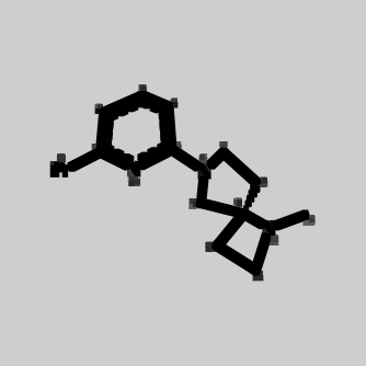 CC(C)c1cccc(N2CC[C@]3(CCN3C)C2)n1